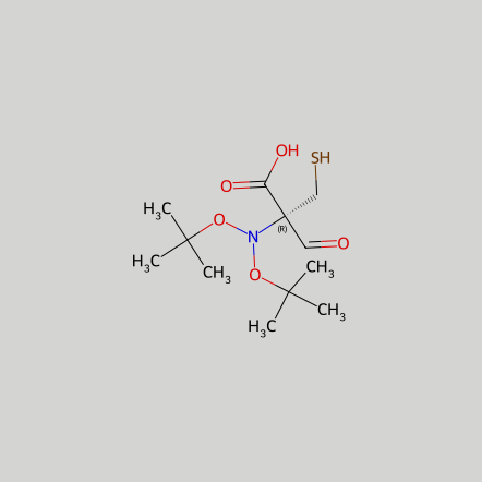 CC(C)(C)ON(OC(C)(C)C)[C@@](C=O)(CS)C(=O)O